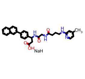 Cc1ccnc(NCCCC(=O)NCC(=O)NC(CC(=O)O)c2ccc(-c3ccc4ccccc4c3)cc2)c1.[NaH]